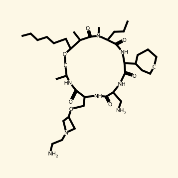 CCCCCCC1OCC(C)NC(=O)C(COC2CN(CCN)C2)NC(=O)C(CN)NC(=O)C(C2CCCCCC2)NC(=O)C(CCC)N(C)C(=O)C1C